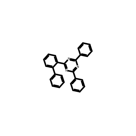 [c]1ccc(-c2nc(-c3ccccc3)nc(-c3ccccc3-c3ccccc3)n2)cc1